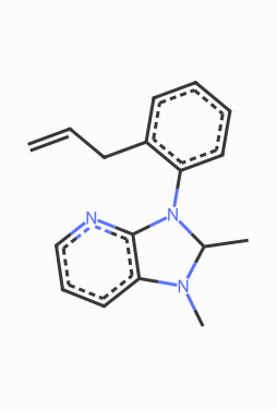 C=CCc1ccccc1N1c2ncccc2N(C)C1C